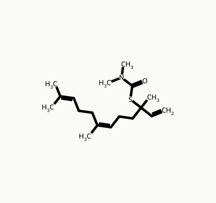 C=CC(C)(CCC=C(C)CCC=C(C)C)SC(=O)N(C)C